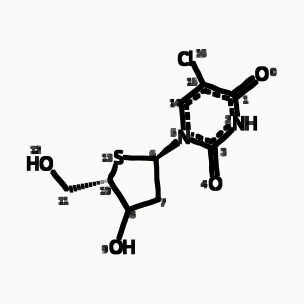 O=c1[nH]c(=O)n([C@H]2CC(O)[C@H](CO)S2)cc1Cl